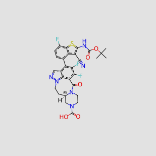 CC(C)(C)OC(=O)Nc1sc2c(F)ccc(-c3c(F)c(F)c4c5c3cnn5CC[C@@H]3CN(C(=O)O)CCN3C4=O)c2c1C#N